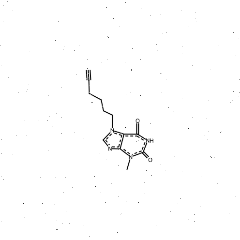 C#CCCCCn1cnc2c1c(=O)[nH]c(=O)n2C